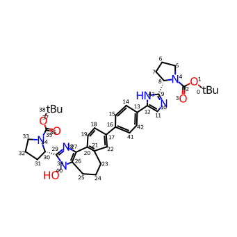 CC(C)(C)OC(=O)N1CCC[C@H]1c1ncc(-c2ccc(-c3ccc4c(c3)CCCc3c-4nc([C@@H]4CCCN4C(=O)OC(C)(C)C)n3O)cc2)[nH]1